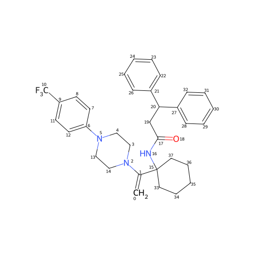 C=C(N1CCN(c2ccc(C(F)(F)F)cc2)CC1)C1(NC(=O)CC(c2ccccc2)c2ccccc2)CCCCC1